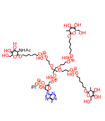 CC(=O)NC1[C@H](OCCCCCCOP(=O)(O)OCCCOCC(COCCCOP(=O)(O)OCCCCCCO[C@@H]2OC(CO)[C@H](O)[C@H](O)C2C)(COCCCOP(=O)(O)OCCCCCCO[C@@H]2OC(CO)[C@H](O)[C@H](O)C2C)COP(=O)(O)OC[C@H]2O[C@@H](n3cnc4c(C)ncnc43)CC2OP(=O)(O)OC(C)C)OC(CO)[C@H](O)[C@@H]1O